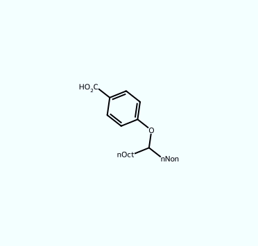 CCCCCCCCCC(CCCCCCCC)Oc1ccc(C(=O)O)cc1